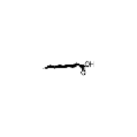 [CH2]CCCCCC=CC(=O)O